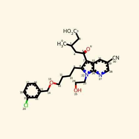 CC(CC(=O)O)CC(=O)c1c(CCCCOCc2cccc(Cl)c2)n(CCO)c2ncc(C#N)cc12